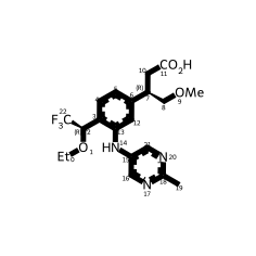 CCO[C@H](c1ccc([C@H](COC)CC(=O)O)cc1Nc1cnc(C)nc1)C(F)(F)F